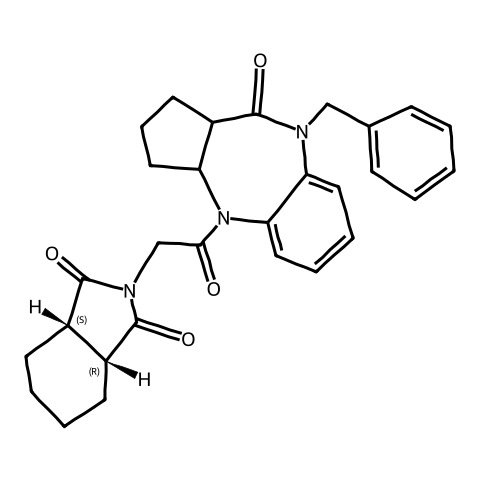 O=C1[C@H]2CCCC[C@H]2C(=O)N1CC(=O)N1c2ccccc2N(Cc2ccccc2)C(=O)C2CCCC21